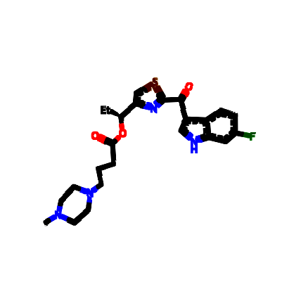 CC[C@H](OC(=O)CCCN1CCN(C)CC1)c1csc(C(=O)c2c[nH]c3cc(F)ccc23)n1